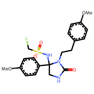 COc1ccc(CCN2C(=O)NCC2(NS(=O)(=O)CF)c2ccc(OC)cc2)cc1